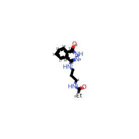 CCC(=O)NCCCNc1n[nH]c(=O)c2ccccc12